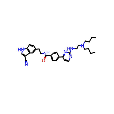 CCCCN(CCCC)CCNc1nccc(-c2ccc(C(=O)NCCc3ccc4[nH]cc(C#N)c4c3)cc2)n1